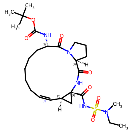 CCN(C)S(=O)(=O)NC(=O)[C@@]12C[C@H]1/C=C\CCCCC[C@H](NC(=O)OC(C)(C)C)C(=O)N1CCC[C@H]1C(=O)N2